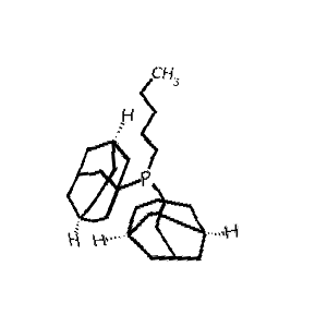 CCCCCP(C12CC3C[C@H](C1)C[C@@H](C3)C2)C12CC3C[C@H](C1)C[C@@H](C3)C2